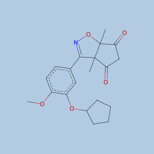 COc1ccc(C2=NOC3(C)C(=O)CC(=O)C23C)cc1OC1CCCC1